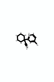 N#CC1(c2cc(I)ccn2)CCCCC1